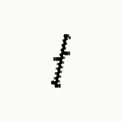 CCCCCCCC(O)CCC(O)CCCCCCCCCC(=O)O